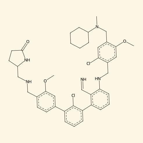 COc1cc(-c2cccc(-c3cccc(NCc4cc(OC)c(CN(C)C5CCCCC5)cc4Cl)c3C=N)c2Cl)ccc1CNCC1CCC(=O)N1